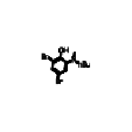 CCCCN(C)c1cc(Br)cc(Br)c1O